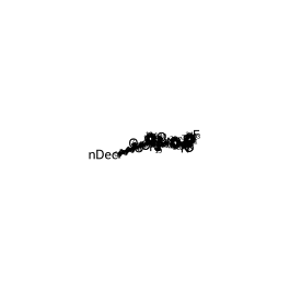 CCCCCCCCCCCCCCCC(=O)OCOC1CCCn2c1nc(C)c(CCN1CCC(c3noc4cc(F)ccc34)CC1)c2=O